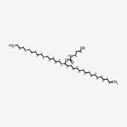 CCCCCCCCCCCCCCCCCC(CCCCCCCCCCCCCCCC)OC(=O)NCCCO